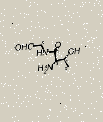 C[C@H](O)[C@@H](N)C(=O)NC[C]=O